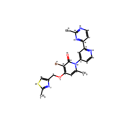 Cc1nc(COc2cc(C)n(-c3ccnc(-c4ccnc(C(C)(C)C)n4)c3)c(=O)c2Br)cs1